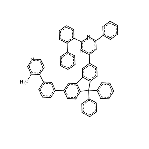 Cc1cnccc1-c1cccc(-c2ccc3c(c2)-c2cc(-c4cc(-c5ccccc5)nc(-c5ccccc5-c5ccccc5)n4)ccc2C3(c2ccccc2)c2ccccc2)c1